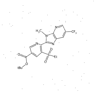 CCS(=O)(=O)c1cc(C(=O)OC(C)(C)C)cnc1-c1nc2cc(C(F)(F)F)cnc2n1C